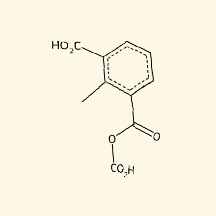 Cc1c(C(=O)O)cccc1C(=O)OC(=O)O